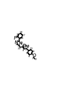 CCOc1ccc(-c2cc(CC3C=NC(c4ccccc4F)=N3)on2)cc1